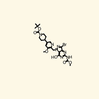 COC(=O)Nc1nc(O)c2c(n1)c(Br)nn2Cc1ncc(C2CCN(C(=O)OC(C)(C)C)CC2)cc1OC